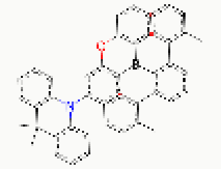 Cc1cccc(C)c1-c1cccc(-c2c(C)cccc2C)c1B1c2ccccc2Oc2cc(N3c4ccccc4C(C)(C)c4ccccc43)ccc21